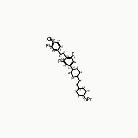 CCCC1CCC(CCC2CCC(c3cc(F)c(CCc4ccc(Cl)c(F)c4)c(F)c3)CC2)CC1